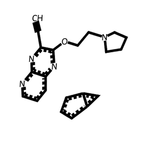 C#Cc1nc2ncccc2nc1OCCN1CCCC1.c1cc2cc-2c1